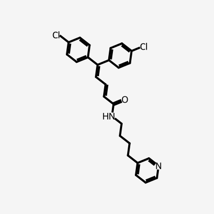 O=C(/C=C/C=C(c1ccc(Cl)cc1)c1ccc(Cl)cc1)NCCCCc1cccnc1